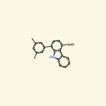 Cc1cc(C)cc(-c2ccc([SeH])c3c2[nH]c2ccccc23)c1